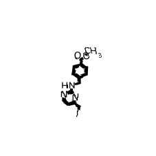 COC(=O)c1ccc(CNc2nccc(CI)n2)cc1